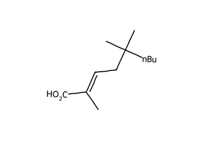 CCCCC(C)(C)CC=C(C)C(=O)O